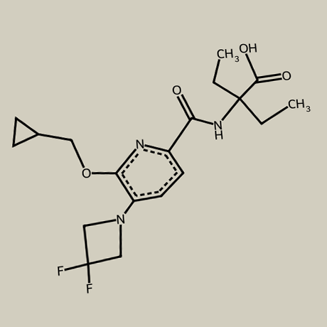 CCC(CC)(NC(=O)c1ccc(N2CC(F)(F)C2)c(OCC2CC2)n1)C(=O)O